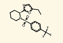 CCc1cnc([C@@H]2CCCCN2S(=O)(=O)c2ccc(C(F)(F)F)cc2)o1